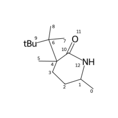 CC1CCC(C)(C(C)(C)C(C)(C)C)C(=O)N1